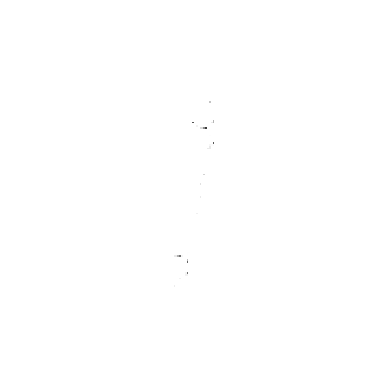 C=CC(=O)OCCCCOC/C=C/C(=O)OC(C)C